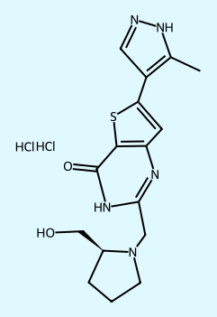 Cc1[nH]ncc1-c1cc2nc(CN3CCC[C@H]3CO)[nH]c(=O)c2s1.Cl.Cl